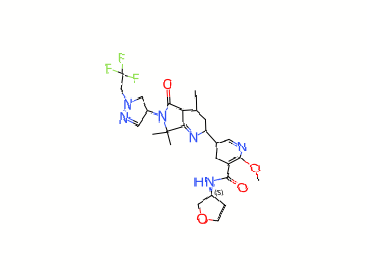 COC1=C(C(=O)N[C@H]2CCOC2)CC(C2CC(C)C3C(=O)N(C4C=NN(CC(F)(F)F)C4)C(C)(C)C3=N2)C=N1